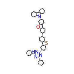 c1ccc(C2=NC(c3ccc4sc5cc(-c6ccc7c(c6)oc6cc(-n8c9ccccc9c9ccccc98)ccc67)ccc5c4c3)NC(c3ccccc3)=N2)cc1